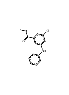 COC(=O)c1cc(Cl)nc(Nc2ccccc2)c1